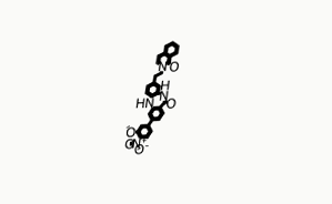 COc1cc(-c2ccc3c(c2)Nc2ccc(CCn4ccc5ccccc5c4=O)cc2NC3=O)ccc1[N+](=O)[O-]